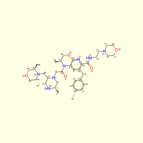 C[C@@H]1CN(CC(=O)N2c3cc(Cc4ccc(F)cc4)c(C(=O)NCCN4CCOCC4)nc3OC[C@@H]2C)C(CN2[C@H](C)COC[C@H]2C)CN1